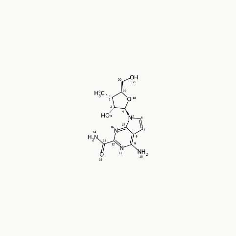 C[C@H]1[C@@H](O)[C@H](n2ccc3c(N)nc(C(N)=O)nc32)O[C@@H]1CO